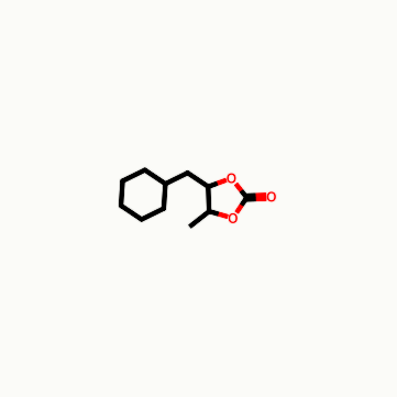 CC1OC(=O)OC1CC1CCCCC1